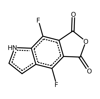 O=C1OC(=O)c2c1c(F)c1cc[nH]c1c2F